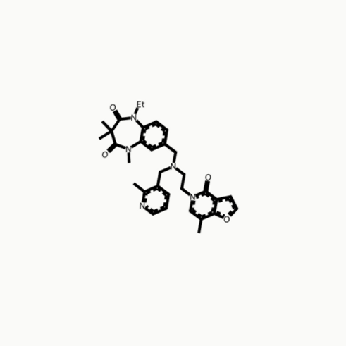 CCN1C(=O)C(C)(C)C(=O)N(C)c2cc(CN(CCn3cc(C)c4occc4c3=O)Cc3cccnc3C)ccc21